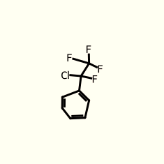 FC(F)(F)C(F)(Cl)c1ccccc1